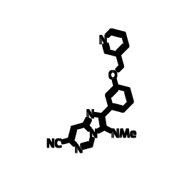 CNc1c(-c2cccc(OCc3cccnc3)c2)nc2cc(C#N)ncn12